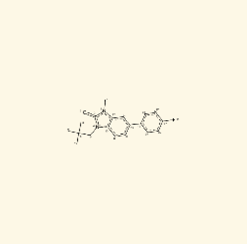 Cn1c(=O)n(CC(C)(C)C)c2ccc(-c3ccc(F)nc3)cc21